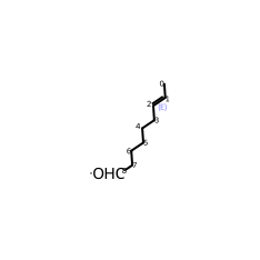 C/C=C/CCCCC[C]=O